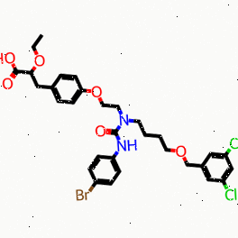 CCOC(Cc1ccc(OCCN(CCCCOCc2cc(Cl)cc(Cl)c2)C(=O)Nc2ccc(Br)cc2)cc1)C(=O)O